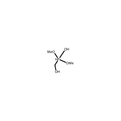 CO[PH](O)(CO)OC